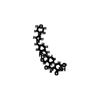 CN(C(=O)c1cccc(NCc2ccc(CN3CC(N4CCOCC4)C3)cc2F)c1C=O)C1CCC(=O)NC1=O